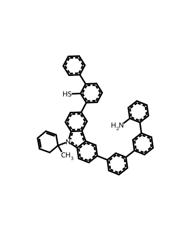 CC1(n2c3ccc(-c4cccc(-c5cccc(-c6ccccc6N)c5)c4)cc3c3cc(-c4cccc(-c5ccccc5)c4S)ccc32)C=CC=CC1